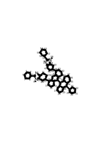 Cn1c(-c2ccccc2)nc2ccc(-c3cccc4c(-c5c6ccccc6c(-c6ccccc6)c6ccccc56)c5cccc(-c6ccc7nc(-c8ccccc8)n(C)c7c6)c5cc34)cc21